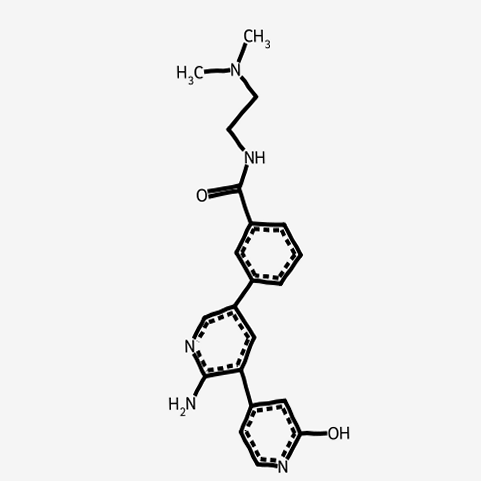 CN(C)CCNC(=O)c1cccc(-c2cnc(N)c(-c3ccnc(O)c3)c2)c1